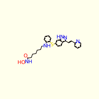 O=C(CCCCCCNc1ccccc1Sc1ccc2c(/C=C/c3ccccn3)n[nH]c2c1)NO